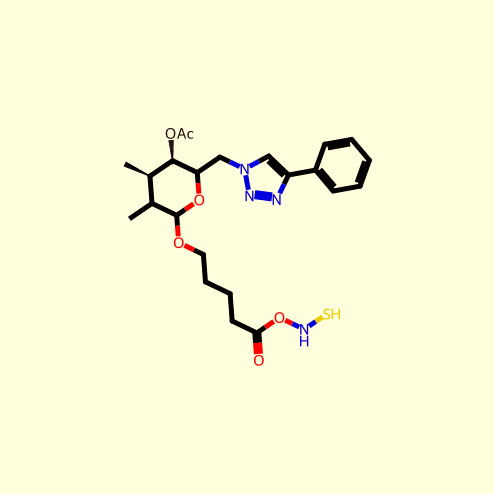 CC(=O)O[C@H]1C(Cn2cc(-c3ccccc3)nn2)OC(OCCCCC(=O)ONS)C(C)[C@H]1C